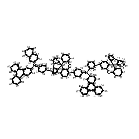 c1cc(-c2ccc3c(c2)Oc2ccccc2C32c3ccccc3-c3ccccc32)cc(N(c2ccc(-c3cccc4c3Oc3ccccc3C43c4ccccc4-c4c(-c5ccc(N(c6ccc7ccccc7c6)c6ccc7c8ccccc8c8ccccc8c7c6)cc5)cccc43)cc2)c2ccc3c4ccccc4c4ccccc4c3c2)c1